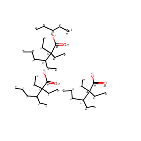 CCCC(CC)C(CC)(CC)C(=O)[O-].CCCC(CC)C(CC)(CC)C(=O)[O-].CCCC(CC)C(CC)(CC)C(=O)[O-].CCC[CH2][Sn+3]